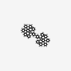 c1ccc(-c2c(-c3ccccc3)c(-c3ccccc3)c3c(-c4ccccc4)n(-c4ccc(-c5ccc(-n6c(-c7ccccc7)c7c(-c8ccccc8)c(-c8ccccc8)c(-c8ccccc8)c(-c8ccccc8)c7c6-c6ccccc6)cc5)cc4)c(-c4ccccc4)c3c2-c2ccccc2)cc1